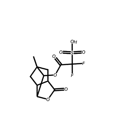 CC12CC3C(=O)OC(C3C1)C2OC(=O)C(F)(F)S(=O)(=O)O